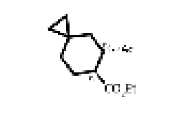 CCOC(=O)[C@H]1CCC2(CC2)C[C@@H]1C(C)=O